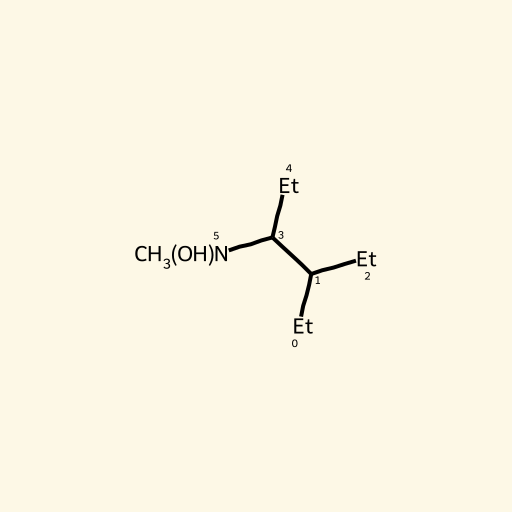 CCC(CC)C(CC)N(C)O